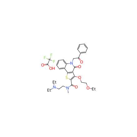 CCOCCOc1c(C(=O)N(C)CCN(CC)CC)sc2c1c(=O)n(CC(=O)c1ccccc1)c1ccccc21.O=C(O)C(F)(F)F